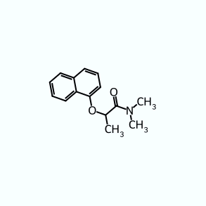 CC(Oc1cccc2ccccc12)C(=O)N(C)C